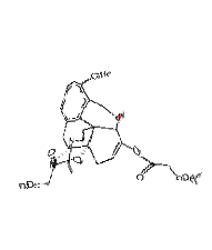 CCCCCCCCCCCC(=O)OC1=CC[C@@]2(OC(=O)CCCCCCCCCCC)[C@H]3Cc4ccc(OC)c5c4C2(CCN3C)[C@H]1O5